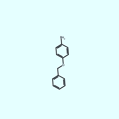 Bc1ccc(OCc2ccccc2)cc1